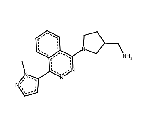 Cn1nccc1-c1nnc(N2CCC(CN)C2)c2ccccc12